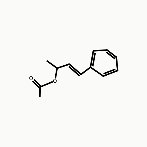 CC(=O)OC(C)C=Cc1ccccc1